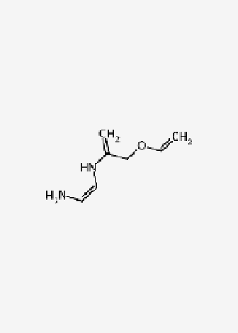 C=COCC(=C)N/C=C\N